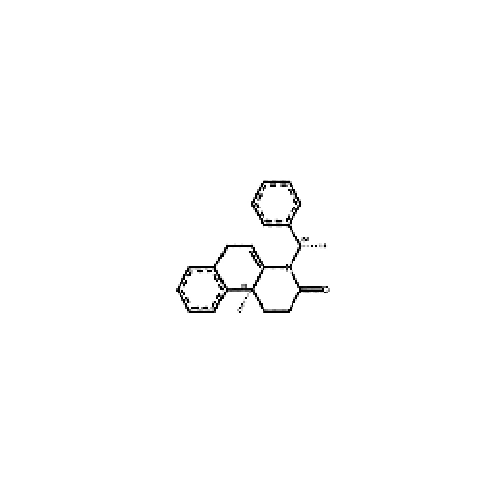 C[C@@H](c1ccccc1)N1C(=O)CC[C@]2(C)C1=CCc1ccccc12